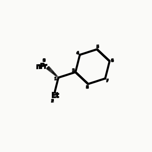 CCC[C@@H](CC)C1CCCCC1